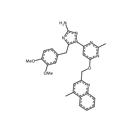 COc1ccc(Cc2nc(N)nn2-c2cc(OCc3cc(C)c4ccccc4n3)nc(C)n2)cc1OC